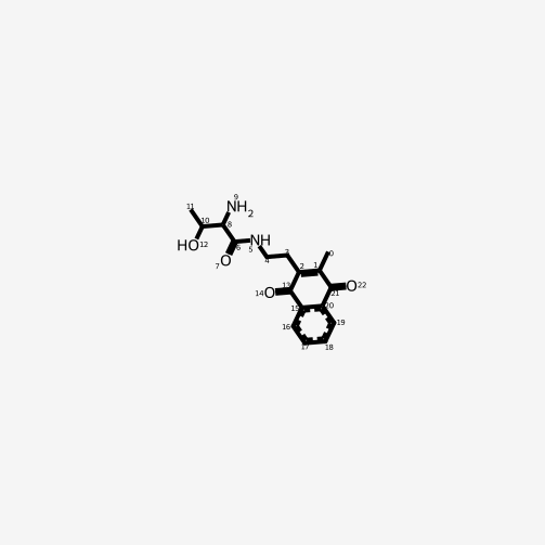 CC1=C(CCNC(=O)C(N)C(C)O)C(=O)c2ccccc2C1=O